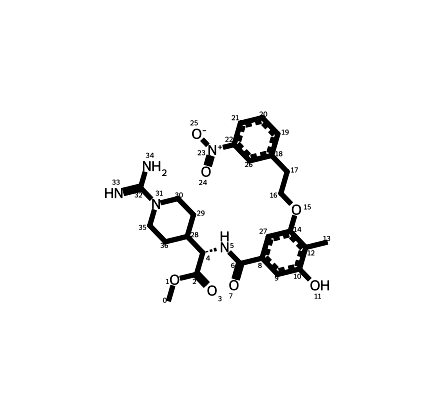 COC(=O)[C@@H](NC(=O)c1cc(O)c(C)c(OCCc2cccc([N+](=O)[O-])c2)c1)C1CCN(C(=N)N)CC1